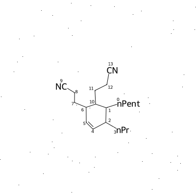 CCCCCC1C(CCC)C=CC(CCC#N)C1CCC#N